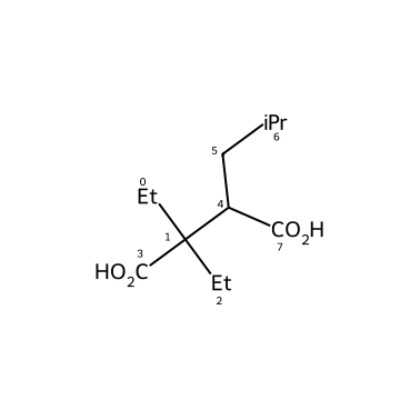 CCC(CC)(C(=O)O)C(CC(C)C)C(=O)O